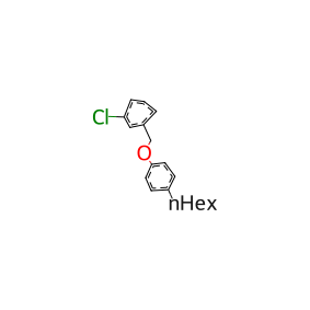 [CH2]CCCCCc1ccc(OCc2cccc(Cl)c2)cc1